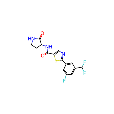 O=C(NC1CCNC1=O)c1cnc(-c2cc(F)cc(C(F)F)c2)s1